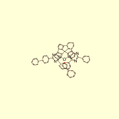 c1ccc(-c2ccc(-c3nc(-c4ccc(-c5ccccc5)cc4)nc(-c4cccc5c4C4(c6ccccc6Oc6ccccc64)c4c(-c6nc(-c7ccccc7)nc(-c7ccccc7)n6)cccc4-5)n3)cc2)cc1